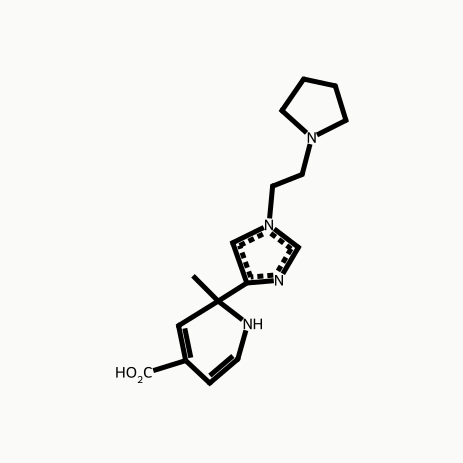 CC1(c2cn(CCN3CCCC3)cn2)C=C(C(=O)O)C=CN1